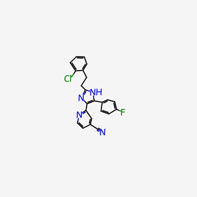 N#Cc1ccnc(-c2nc(CCc3ccccc3Cl)[nH]c2-c2ccc(F)cc2)c1